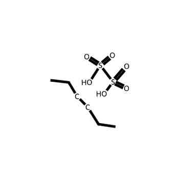 CCCCCC.O=S(=O)(O)S(=O)(=O)O